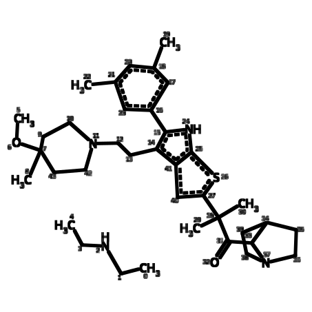 CCNCC.COC1(C)CCN(CCc2c(-c3cc(C)cc(C)c3)[nH]c3sc(C(C)(C)C(=O)C4C5CCN4CC5)cc23)CC1